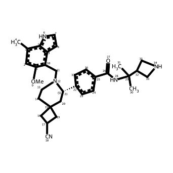 COc1cc(C)c2[nH]ccc2c1CN1CCC2(CC(C#N)C2)C[C@H]1c1ccc(C(=O)NC(C)(C)C2CNC2)cc1